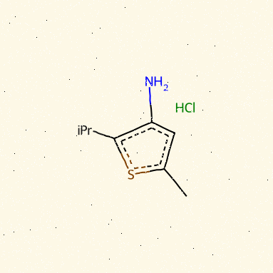 Cc1cc(N)c(C(C)C)s1.Cl